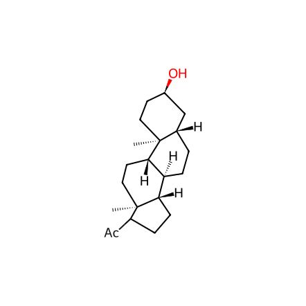 CC(=O)C1CC[C@H]2[C@@H]3CC[C@H]4C[C@H](O)CC[C@]4(C)[C@H]3CC[C@]12C